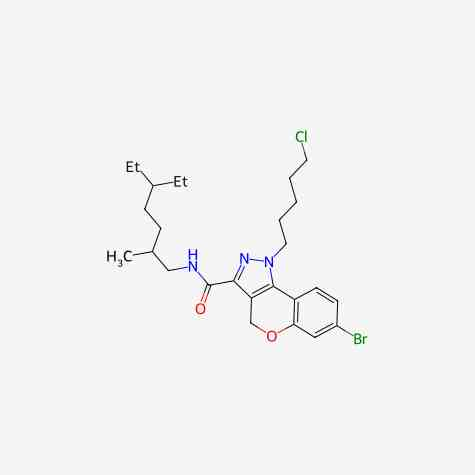 CCC(CC)CCC(C)CNC(=O)c1nn(CCCCCCl)c2c1COc1cc(Br)ccc1-2